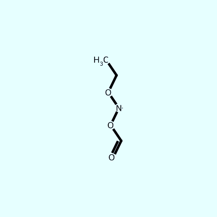 CCO[N]OC=O